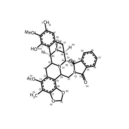 COc1c(C)cc2c(c1O)[C@@H]1C3Cc4c(OC(C)=O)c(C)c5c(c4C(CN4C(=O)c6ccccc6C4=O)N3[C@@H](C#N)[C@H](C2)N1C)OCO5